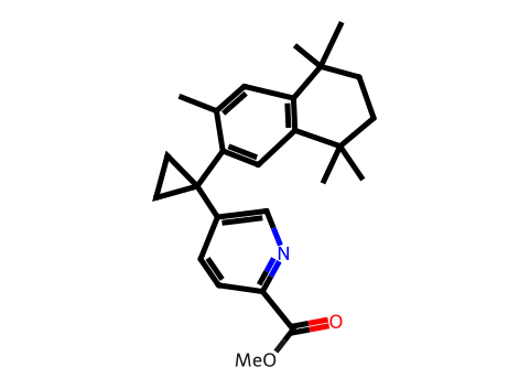 COC(=O)c1ccc(C2(c3cc4c(cc3C)C(C)(C)CCC4(C)C)CC2)cn1